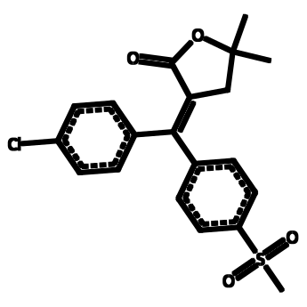 CC1(C)C/C(=C(/c2ccc(Cl)cc2)c2ccc(S(C)(=O)=O)cc2)C(=O)O1